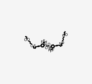 C=CC(=O)OCCCCOc1ccc(C#Cc2ccc(NC(=O)C(=O)Nc3ccc(C#Cc4ccc(OCCCCOC(=O)C=C)s4)cc3C(F)(F)F)c(C(F)(F)F)c2)s1